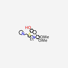 CCN(Cc1ccc(CCN2CCCCCC2)s1)C1C=C(OC)C(OC)=CC1[C@@H]1CCc2cc(O)ccc2C1